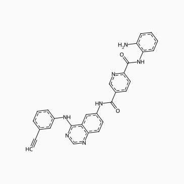 C#Cc1cccc(Nc2ncnc3ccc(NC(=O)c4ccc(C(=O)Nc5ccccc5N)nc4)cc23)c1